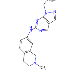 CCOC(=O)Cn1ncc2cnc(Nc3ccc4c(c3)CN(C)CC4)nc21